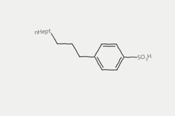 CCCCCCCCCCc1ccc(S(=O)(=O)O)cc1